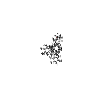 [2H]c1c([2H])c([2H])c(C([2H])([2H])N(C([2H])([2H])c2c([2H])c([2H])c([2H])c([2H])c2[2H])C2([2H])C([2H])([2H])C([2H])([2H])N(C(=O)OC(C)(C([2H])([2H])[2H])C([2H])([2H])[2H])C([2H])([2H])C2([2H])[2H])c([2H])c1[2H]